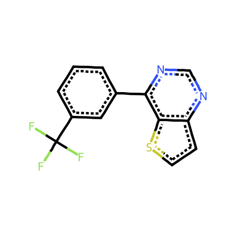 FC(F)(F)c1cccc(-c2ncnc3ccsc23)c1